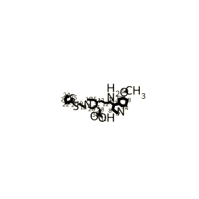 COc1ccc2nccc(C(N)CC[C@@H]3CCN(CCSc4cccs4)C[C@@H]3CC(=O)O)c2c1